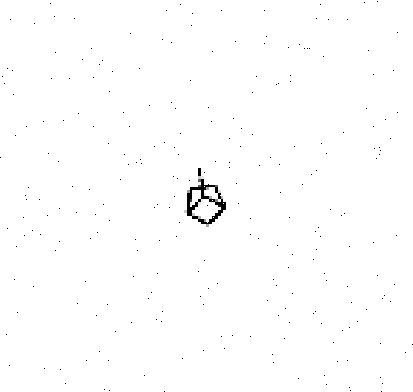 IC1C2CCC1C2